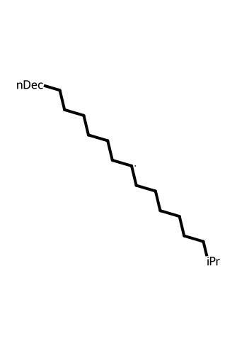 CCCCCCCCCCCCCCCC[CH]CCCCCCC(C)C